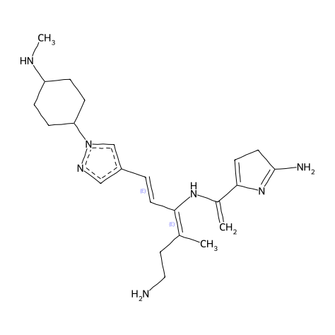 C=C(NC(/C=C/c1cnn(C2CCC(NC)CC2)c1)=C(\C)CCN)C1=CCC(N)=N1